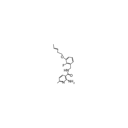 CC=CCCOc1cccc(CNC(=O)c2ccc(C)nc2N)c1F